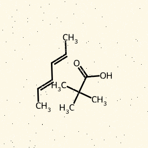 CC(C)(C)C(=O)O.CC=CC=CC